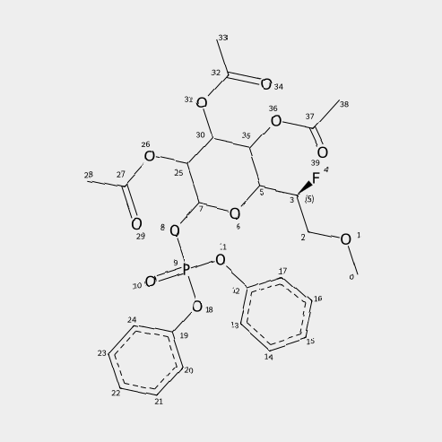 COC[C@H](F)C1OC(OP(=O)(Oc2ccccc2)Oc2ccccc2)C(OC(C)=O)C(OC(C)=O)C1OC(C)=O